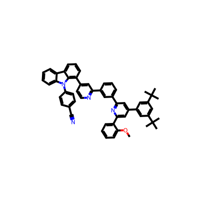 COc1ccccc1-c1cc(-c2cc(C(C)(C)C)cc(C(C)(C)C)c2)cc(-c2cccc(-c3cc(-c4cccc5c6ccccc6n(-c6ccc(C#N)cc6)c45)ccn3)c2)n1